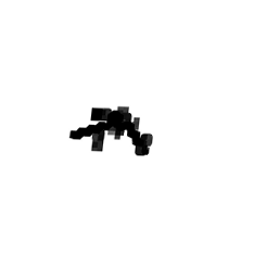 CCCCC[C@H](O)CC[C@@H]1[C@H]2[C@H](F)[C@H]([C@H](I)CCCC(=O)OC)O[C@@H]2C[C@H]1O